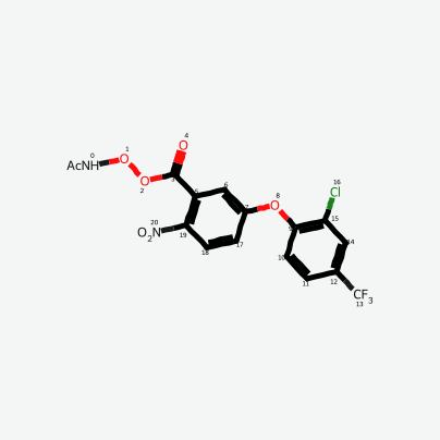 CC(=O)NOOC(=O)c1cc(Oc2ccc(C(F)(F)F)cc2Cl)ccc1[N+](=O)[O-]